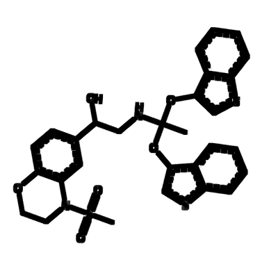 CC(NCC(O)c1ccc2c(c1)N(S(C)(=O)=O)CCO2)(Oc1csc2ccccc12)Oc1csc2ccccc12